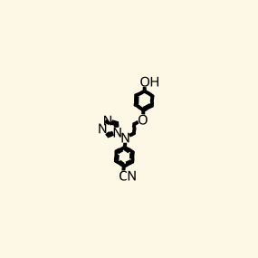 N#Cc1ccc(N(CCOC2=CCC(O)C=C2)n2cnnc2)cc1